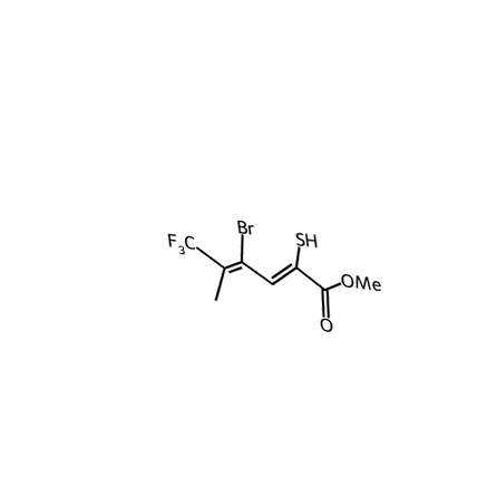 COC(=O)/C(S)=C/C(Br)=C(\C)C(F)(F)F